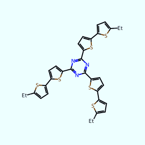 CCc1ccc(-c2ccc(-c3nc(-c4ccc(-c5ccc(CC)s5)s4)nc(-c4ccc(-c5ccc(CC)s5)s4)n3)s2)s1